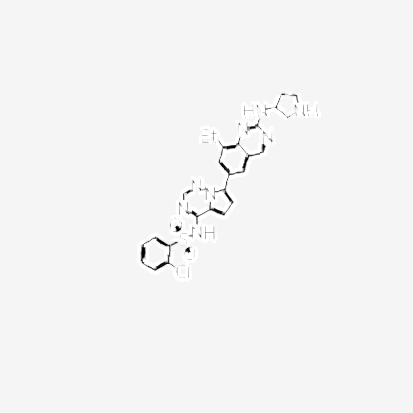 CCc1cc(-c2ccc3c(NS(=O)(=O)c4ccccc4Cl)ncnn23)cc2cnc(N[C@H]3CCNC3)nc12